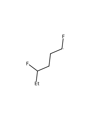 CCC(F)CC[CH]F